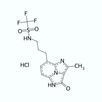 Cc1nc2c(CCCNS(=O)(=O)C(F)(F)F)ccc3[nH]c(=O)c1n32.Cl